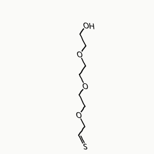 OCCOCCOCCOCC=S